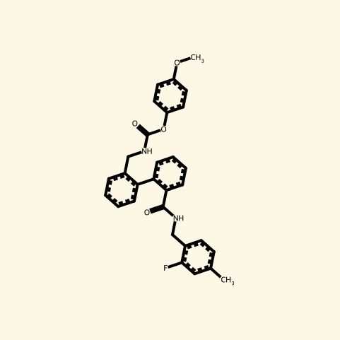 COc1ccc(OC(=O)NCc2ccccc2-c2ccccc2C(=O)NCc2ccc(C)cc2F)cc1